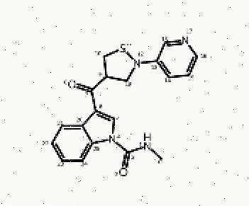 CNC(=O)n1cc(C(=O)C2CSN(c3cccnc3)C2)c2ccccc21